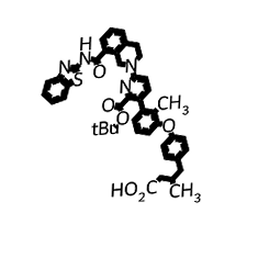 Cc1c(Oc2ccc(CC(C)CC(=O)O)cc2)cccc1-c1ccc(N2CCc3cccc(C(=O)Nc4nc5ccccc5s4)c3C2)nc1C(=O)OC(C)(C)C